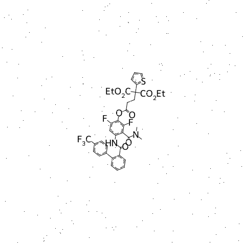 CCOC(=O)C(CCC(=O)Oc1c(F)cc(NC(=O)c2ccccc2-c2ccc(C(F)(F)F)cc2)c(C(=O)N(C)C)c1F)(C(=O)OCC)c1cccs1